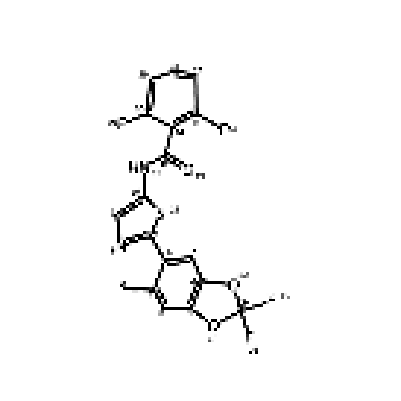 Cc1cc2c(cc1-c1ncc(NC(=O)c3c(F)cccc3F)s1)OC(F)(F)O2